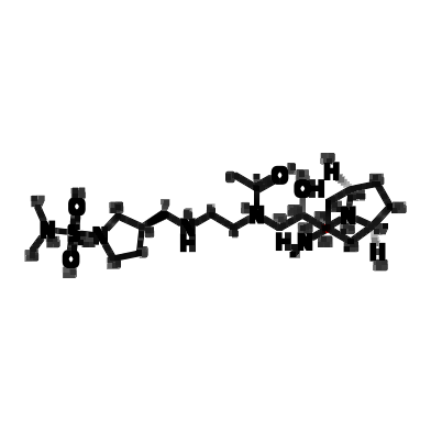 CC(=O)N(CCNC[C@H]1CCN(S(=O)(=O)N(C)C)C1)CC(O)CN1[C@@H]2CC[C@H]1CC(N)C2